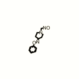 O=NCN1CCC(=NOc2ccccc2)CC1